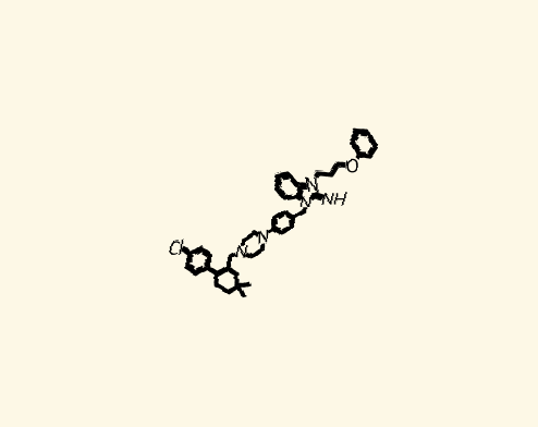 CC1(C)CCC(c2ccc(Cl)cc2)=C(CN2CCN(c3ccc(Cn4c(=N)n(CCCOc5ccccc5)c5ccccc54)cc3)CC2)C1